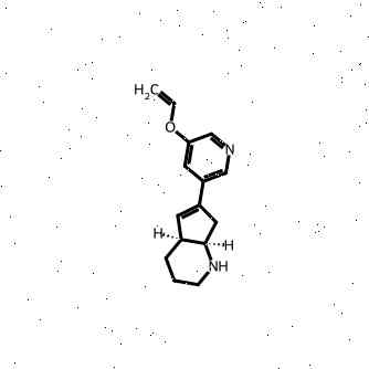 C=COc1cncc(C2=C[C@@H]3CCCN[C@@H]3C2)c1